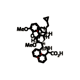 COc1ccc2c3c1O[C@H]1[C@@]4(OC)CCC2[C@@H]2[C@@H](C[C@@H]4[C@H](NC(C(=O)O)c4ccccc4)c4ccccc4)[C@@]31CCN2CC1CC1